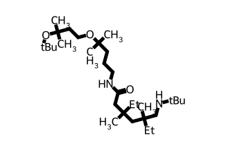 CCC(C)(CNC(C)(C)C)CC(C)(CC)CC(=O)NCCCC(C)(C)OCCC(C)(C)OC(C)(C)C